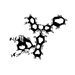 CC1(C)CCC(C)(C)c2cc(-n3c4ccccc4c4ccc(N(c5ccc(-c6ccccc6)cc5)c5ccc6ccccc6c5)cc43)ccc21